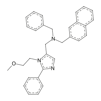 COCCn1c(CN(Cc2ccccc2)Cc2ccc3ccccc3c2)cnc1-c1ccccc1